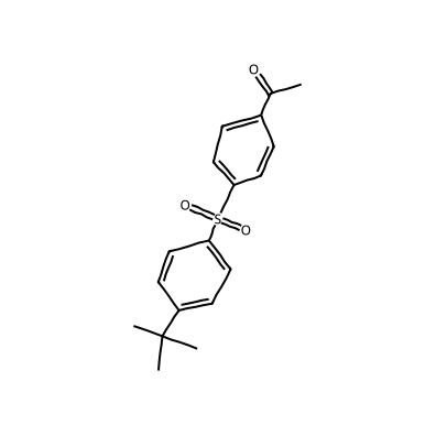 CC(=O)c1ccc(S(=O)(=O)c2ccc(C(C)(C)C)cc2)cc1